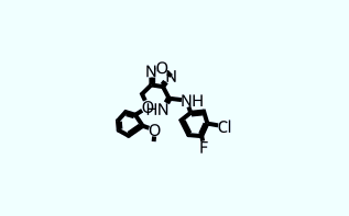 COc1ccccc1OCc1nonc1C(=N)Nc1ccc(F)c(Cl)c1